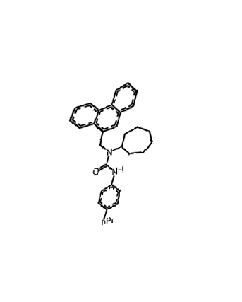 CCCc1ccc(NC(=O)N(Cc2cc3ccccc3c3ccccc23)C2CCCCCC2)cc1